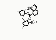 Cc1cc2c(c(C(C)(C)C)c1)OP(c1cccc3ccccc13)Oc1c(cc(C)cc1C(C)(C)C)C2